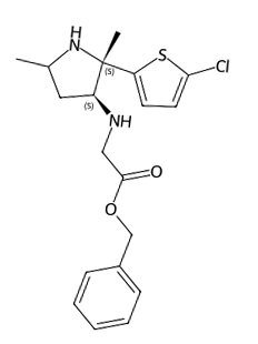 CC1C[C@H](NCC(=O)OCc2ccccc2)[C@@](C)(c2ccc(Cl)s2)N1